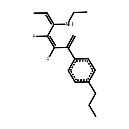 C=C(/C(F)=C(F)\C(=C/C)NCC)c1ccc(CCC)cc1